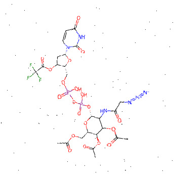 CC(=O)OCC1O[C@H](OP(=O)(O)OP(=O)(O)OC[C@H]2O[C@@H](n3ccc(=O)[nH]c3=O)CC2OC(=O)C(F)(F)F)C(NC(=O)CN=[N+]=[N-])C(OC(C)=O)[C@H]1OC(C)=O